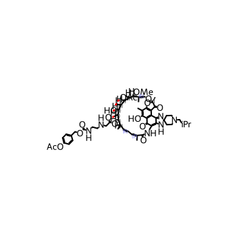 CO[C@H]1/C(C)=C/O[C@@]2(C)Oc3c(C)c(O)c4c(c3C2=O)C2=NC3(CCN(CC(C)C)CC3)NC2=C(NC(=O)/C(C)=C\C=C\[C@H](C)[C@H](OC(=O)CNCCNC(=O)OCc2ccc(OC(C)=O)cc2)[C@@H](C)[C@@H](O)[C@@H](C)[C@H](OC(C)=O)[C@@H]1C)C4=O